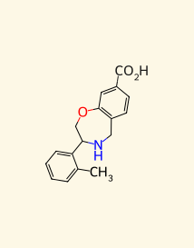 Cc1ccccc1C1COc2cc(C(=O)O)ccc2CN1